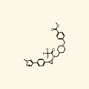 COC(=O)c1ccc(CN2CCC(CN(C(=O)C(F)(F)F)C3CC3c3ccc(-c4cnn(C)c4)cc3)CC2)cc1